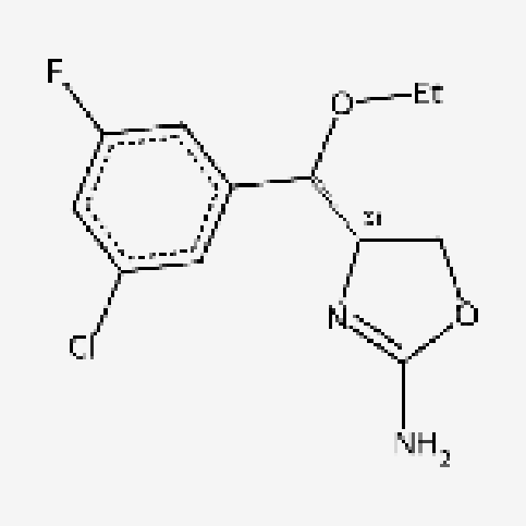 CCOC(c1cc(F)cc(Cl)c1)[C@@H]1COC(N)=N1